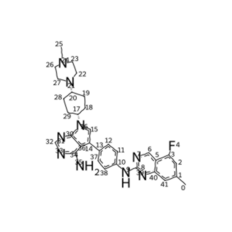 Cc1cc(F)c2cnc(Nc3ccc(-c4cn([C@H]5CC[C@@H](N6CCN(C)CC6)CC5)c5ncnc(N)c45)cc3)nc2c1